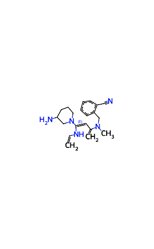 C=CN/C(=C\C(=C)N(C)Cc1ccccc1C#N)N1CCCC(N)C1